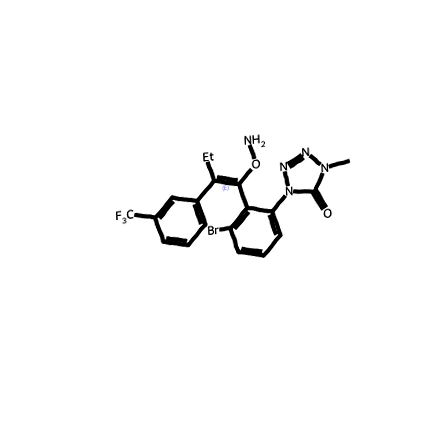 CC/C(=C(\ON)c1c(Br)cccc1-n1nnn(C)c1=O)c1cccc(C(F)(F)F)c1